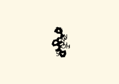 CC12Cn3cnc(-c4ccccc4)c3C=C1CCCC2C(O)c1csc2ccccc12